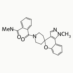 CNC(=O)c1ccccc1C(=O)N1CCC2(CC1)Oc1ccccc1-c1c2cnn1C